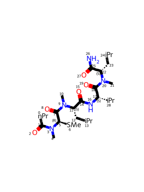 CCCC(=O)N(C)[C@H](SC)C(=O)N(C)[C@@H](CC(C)C)C(=O)N[C@H](C(=O)N(C)[C@@H](CC(C)C)C(N)=O)C(C)C